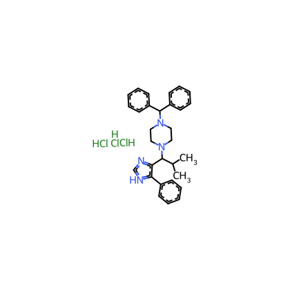 CC(C)C(c1nc[nH]c1-c1ccccc1)N1CCN(C(c2ccccc2)c2ccccc2)CC1.Cl.Cl.Cl